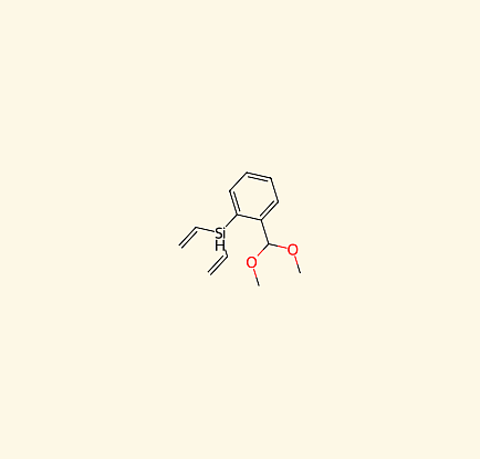 C=C[SiH](C=C)c1ccccc1C(OC)OC